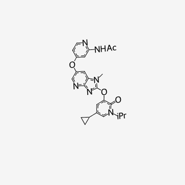 CC(=O)Nc1cc(Oc2cnc3nc(Oc4cc(C5CC5)cn(C(C)C)c4=O)n(C)c3c2)ccn1